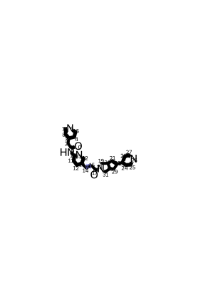 O=C(Cc1ccncc1)Nc1ccc(/C=C/C(=O)N2CC3C=C(c4ccncc4)CC3C2)cn1